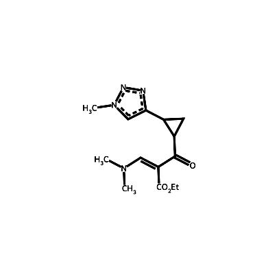 CCOC(=O)C(=CN(C)C)C(=O)C1CC1c1cn(C)nn1